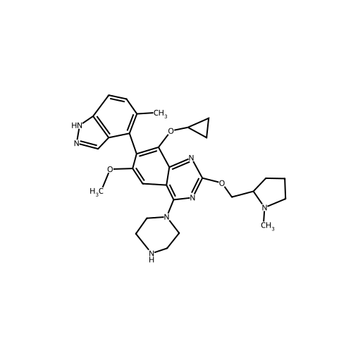 COc1cc2c(N3CCNCC3)nc(OCC3CCCN3C)nc2c(OC2CC2)c1-c1c(C)ccc2[nH]ncc12